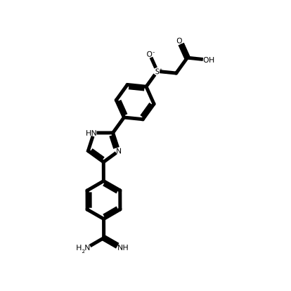 N=C(N)c1ccc(-c2c[nH]c(-c3ccc([S+]([O-])CC(=O)O)cc3)n2)cc1